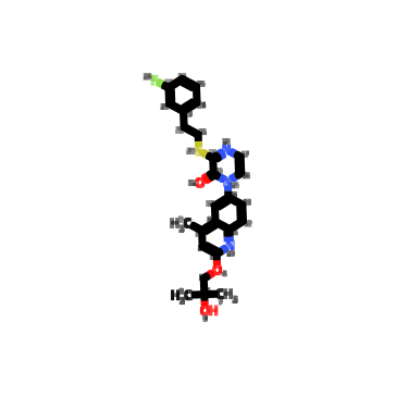 Cc1cc(OCC(C)(C)O)nc2ccc(-n3ccnc(SCCc4cccc(F)c4)c3=O)cc12